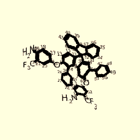 Nc1ccc(Oc2ccc(C3(c4ccc(Oc5ccc(N)c(C(F)(F)F)c5)c(-c5ccccc5)c4)c4ccccc4-c4ccccc43)cc2-c2ccccc2)cc1C(F)(F)F